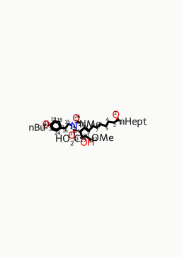 CCCCCCCC(=O)CCCCCC/C=C/[C@H](C(=O)N(CCc1ccc(OCCCC)cc1)C(=O)NC)[C@@](O)(CCOC)C(=O)O